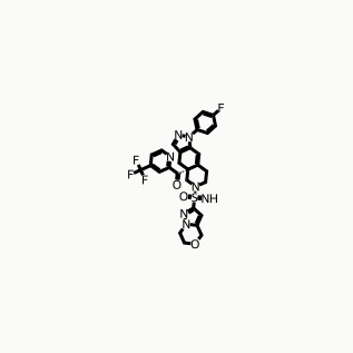 N=[S@@](=O)(c1cc2n(n1)CCOC2)N1CCC2=Cc3c(cnn3-c3ccc(F)cc3)C[C@]2(C(=O)c2cc(C(F)(F)F)ccn2)C1